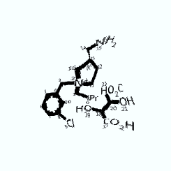 CC(C)C[N+]1(Cc2cccc(Cl)c2)CC[C@H](CN)C1.O=C(O)C(O)C(O)C(=O)O